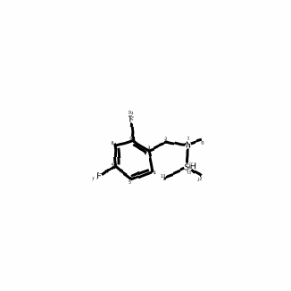 CN(Cc1ccc(F)cc1F)[SiH](C)C